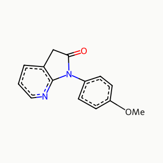 COc1ccc(N2C(=O)Cc3cccnc32)cc1